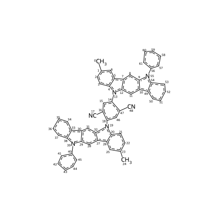 Cc1ccc2c(c1)c1cc3c(cc1n2-c1cc(C#N)c(-n2c4ccc(C)cc4c4cc5c(cc42)c2ccccc2n5-c2ccccc2)cc1C#N)c1ccccc1n3-c1ccccc1